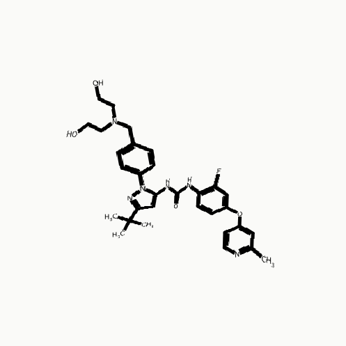 Cc1cc(Oc2ccc(NC(=O)Nc3cc(C(C)(C)C)nn3-c3ccc(CN(CCO)CCO)cc3)c(F)c2)ccn1